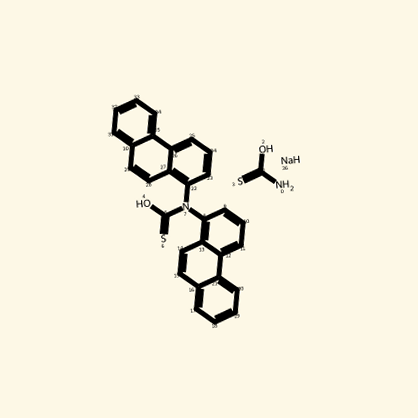 NC(O)=S.OC(=S)N(c1cccc2c1ccc1ccccc12)c1cccc2c1ccc1ccccc12.[NaH]